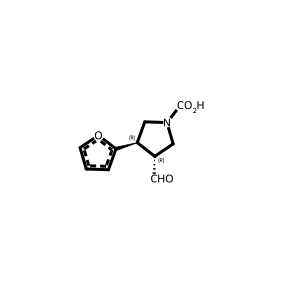 O=C[C@H]1CN(C(=O)O)C[C@@H]1c1ccco1